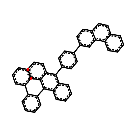 c1ccc(-c2ccccc2-c2c3ccccc3c(-c3ccc(-c4ccc5ccc6ccccc6c5c4)cc3)c3ccccc23)cc1